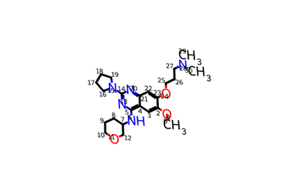 COc1cc2c(NC3CCCOC3)nc(N3CCCC3)nc2cc1OCCCN(C)C